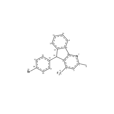 Cc1cc(C(F)(F)F)c2c(n1)-c1ccccc1C2c1ccc(Br)cc1